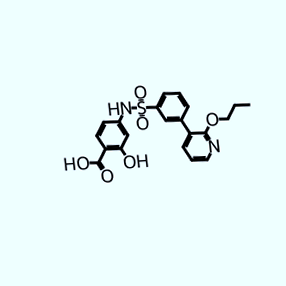 CCCOc1ncccc1-c1cccc(S(=O)(=O)Nc2ccc(C(=O)O)c(O)c2)c1